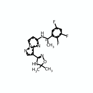 C[C@@H](Nc1ccn2ncc(C3=NOC(C)(C)N3)c2n1)c1cc(F)cc(F)c1F